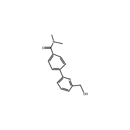 CN(C)C(=O)c1ccc(-c2cccc(CO)n2)cc1